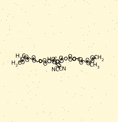 C=CC(=O)OCC(C)OC(=O)CCC(=O)OCCc1ccc(OC(=O)[C@H]2CC[C@H](C(=O)Oc3cc(C)c(OC(=O)[C@H]4CC[C@H](C(=O)Oc5ccc(CCOC(=O)CCC(=O)OC(C)COC(=O)C=C)cc5)CC4)c4c3SC(=C(C#N)C#N)S4)CC2)cc1